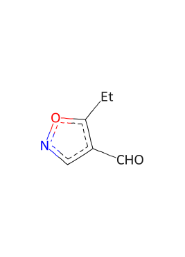 CCc1oncc1C=O